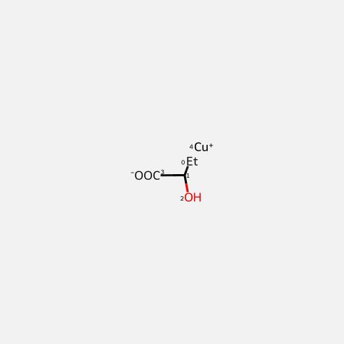 CCC(O)C(=O)[O-].[Cu+]